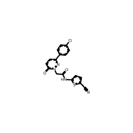 N#Cc1ccc(NC(=O)Cn2nc(-c3ccc(Cl)cc3)ccc2=O)s1